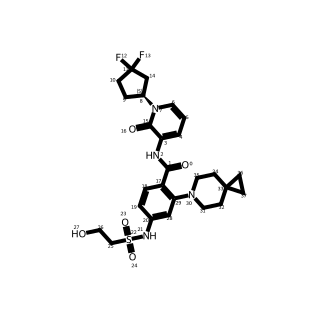 O=C(Nc1cccn([C@H]2CCC(F)(F)C2)c1=O)c1ccc(NS(=O)(=O)CCO)cc1N1CCC2(CC1)CC2